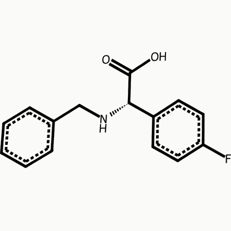 O=C(O)[C@@H](NCc1ccccc1)c1ccc(F)cc1